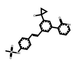 CS(=O)(=O)Nc1ccc(/C=C/c2cc(-c3ccc[nH]c3=O)cc(C3(Cl)CC3)c2)cc1